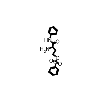 NC(CCOS(=O)(=O)c1ccccc1)C(=O)Nc1ccccc1